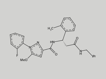 COc1cc(C(=O)N[C@@H](CC(=O)NCC(C)C)c2ccccc2C)nn1-c1ccccc1F